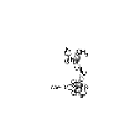 COc1cc(C)c(S(=O)(=O)N2c3ccccc3OCC2COCC(=O)N2CCC(CNC(=O)c3ccncc3)(N3CCN(C)CC3)CC2)c(C)c1